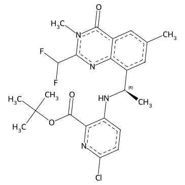 Cc1cc([C@@H](C)Nc2ccc(Cl)nc2C(=O)OC(C)(C)C)c2nc(C(F)F)n(C)c(=O)c2c1